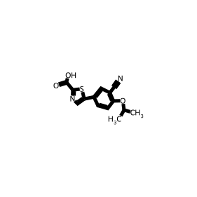 CC(C)Oc1ccc(-c2cnc(C(=O)O)s2)cc1C#N